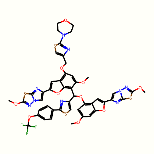 COc1cc(OC(c2csc(-c3ccc(OC(F)(F)F)cc3)n2)c2c(OC)cc(OCc3csc(N4CCOCC4)n3)c3cc(-c4cn5nc(OC)sc5n4)oc23)c2cc(-c3cn4nc(OC)sc4n3)oc2c1